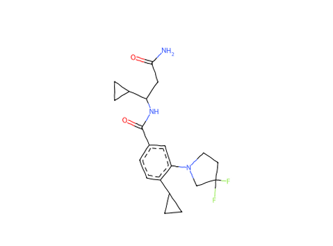 NC(=O)CC(NC(=O)c1ccc(C2CC2)c(N2CCC(F)(F)C2)c1)C1CC1